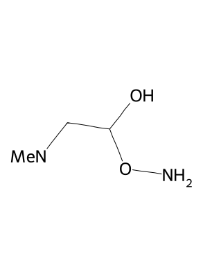 CNCC(O)ON